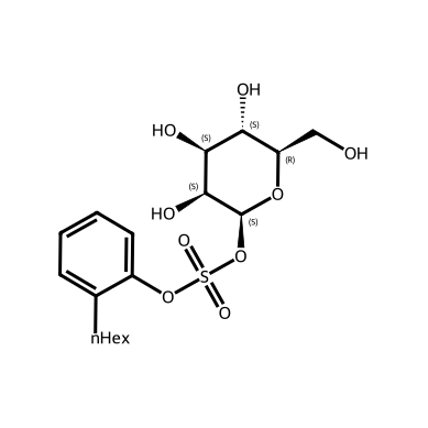 CCCCCCc1ccccc1OS(=O)(=O)O[C@@H]1O[C@H](CO)[C@@H](O)[C@H](O)[C@@H]1O